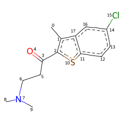 Cc1c(C(=O)CCN(C)C)sc2ccc(Cl)cc12